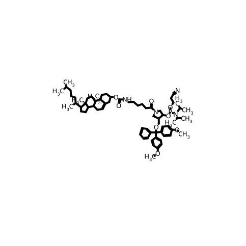 COc1ccc(C(OCC2CN(C(=O)CCCCCNC(=O)OC3CC[C@@]4(C)C(=CCC5C6CCC(C(C)CCCC(C)C)[C@@]6(C)CCC54)C3)CC2OP(OCCC#N)N(C(C)C)C(C)C)(c2ccccc2)c2ccc(OC)cc2)cc1